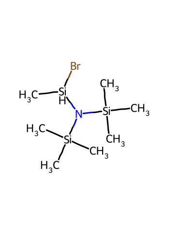 C[SiH](Br)N([Si](C)(C)C)[Si](C)(C)C